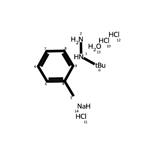 CC(C)(C)NN.Cc1ccccc1.Cl.Cl.Cl.O.[NaH]